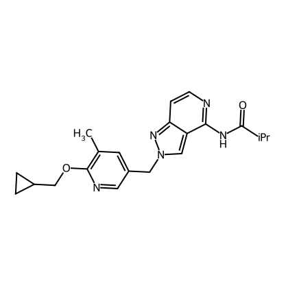 Cc1cc(Cn2cc3c(NC(=O)C(C)C)nccc3n2)cnc1OCC1CC1